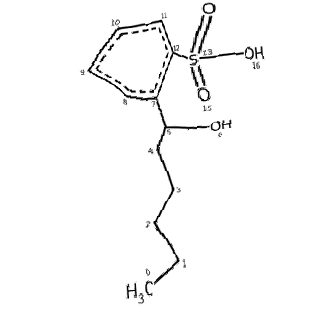 CCCCCC(O)c1ccccc1S(=O)(=O)O